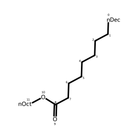 CCCCCCCCCCCCCCCCCC(=O)OCCCCCCCC